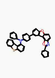 c1ccc(-c2nc3ccc4oc5ccc(-c6ccc(N(c7ccccc7)c7cccc8sc9ccccc9c78)cc6)cc5c4c3o2)cc1